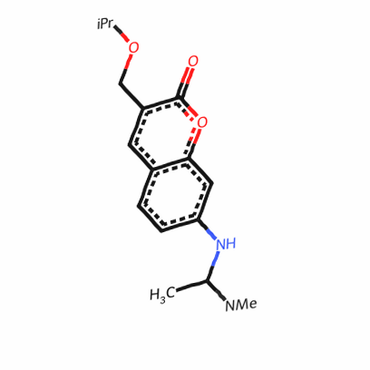 CNC(C)Nc1ccc2cc(COC(C)C)c(=O)oc2c1